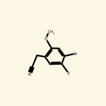 COc1cc(Br)c(F)cc1CC#N